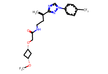 C=C(CCNC(=O)CO[C@H]1C[C@@H](OC(F)(F)F)C1)c1ncn(-c2ccc(C(F)(F)F)cc2)n1